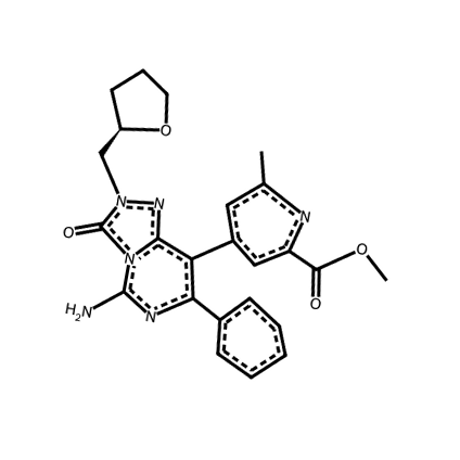 COC(=O)c1cc(-c2c(-c3ccccc3)nc(N)n3c(=O)n(C[C@H]4CCCO4)nc23)cc(C)n1